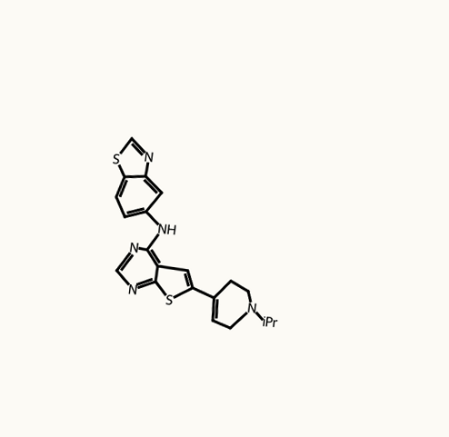 CC(C)N1CC=C(c2cc3c(Nc4ccc5scnc5c4)ncnc3s2)CC1